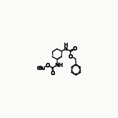 CC(C)(C)OC(=O)NC1CCCC(NC(=O)OCc2ccccc2)C1